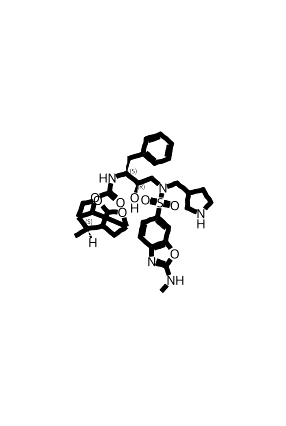 CNc1nc2ccc(S(=O)(=O)N(CC3CCNC3)C[C@@H](O)[C@H](Cc3ccccc3)NC(=O)OC3C4CC5C(OCC3[C@@H]5C)O4)cc2o1